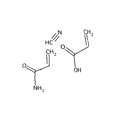 C#N.C=CC(=O)O.C=CC(N)=O